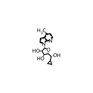 Cc1ccnc2c1ccn2[C@@H]1O[C@H]([C@H](O)C2CC2)[C@@H](O)[C@H]1O